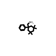 CC1(C)CC(C)(C)CC(CN)(c2ccccc2)C1